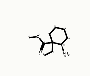 CC[C@@]1(C(=O)OC)CCCC[C@H]1N